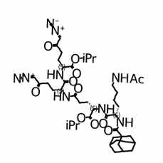 CC(=O)NCCCC[C@H](NC(=O)C12CC3CC(CC(C3)C1)C2)C(=O)N[C@@H](CCC(=O)N[C@@H](CCC(=O)C=[N+]=[N-])C(=O)N[C@@H](CCC(=O)C=[N+]=[N-])C(=O)OC(C)C)C(=O)OC(C)C